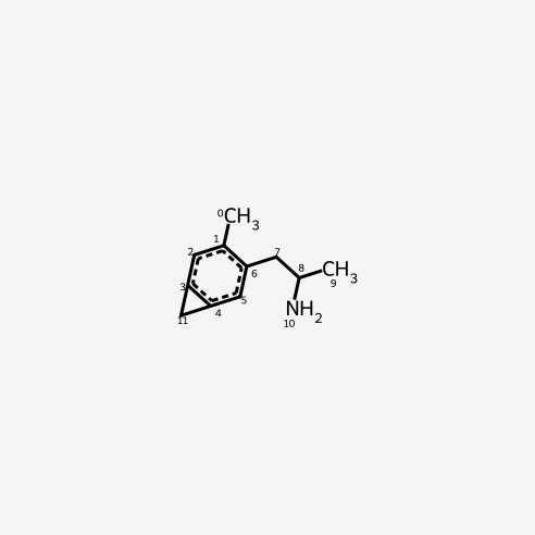 Cc1cc2c(cc1CC(C)N)C2